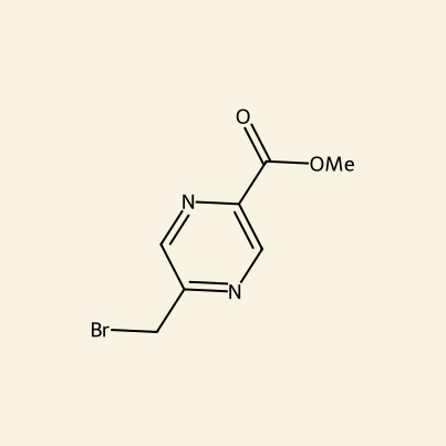 COC(=O)c1cnc(CBr)cn1